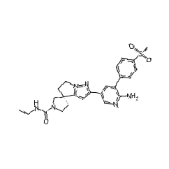 CCNC(=O)N1CC[C@@]2(CCn3nc(-c4cnc(N)c(-c5ccc(S(C)(=O)=O)cc5)c4)cc32)C1